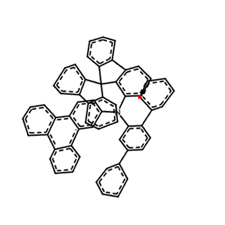 c1ccc(-c2ccc(-c3ccccc3)c(N(c3ccc4c5ccccc5c5ccccc5c4c3)c3cccc4c3C3(c5ccccc5-c5ccccc53)c3ccccc3-4)c2)cc1